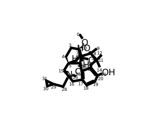 CO[C@@]12CC[C@]3(C[C@H]1C(C)(O)C(C)(C)C)C1Cc4ccc(O)c5c4[C@]3(CCN1CC1CC1)[C@@H]2O5